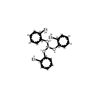 CCc1ccccc1OP(Oc1ccccc1CC)Oc1ccccc1CC